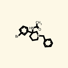 CC(=O)NC1(c2cccc(Br)c2)CCCN(Cc2ccccc2)C1